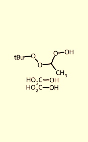 CC(OO)OOC(C)(C)C.O=C(O)O.O=C(O)O